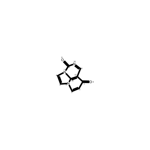 O=c1ccn2ccn3c(=O)ncc1c23